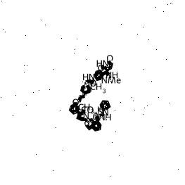 CNc1cc(NC(=O)CN2CC[C@H](CCCOc3cccc(-c4ccc(N5CCc6cccc(C(=O)Nc7nc8ccccc8s7)c6C5)nc4C(=O)O)c3C)C[C@H]2C)ccc1C(=N)C1CCC(=O)NC1=O